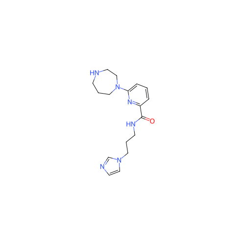 O=C(NCCCn1ccnc1)c1cccc(N2CCCNCC2)n1